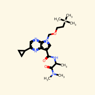 CC(NC(=O)c1cn(COCC[Si](C)(C)C)c2ncc(C3CC3)nc12)C(=O)N(C)C